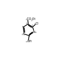 CCCc1ncc(C(=O)OCC)c(Cl)n1